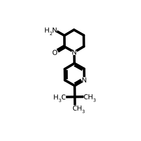 CC(C)(C)c1ccc(N2CCCC(N)C2=O)cn1